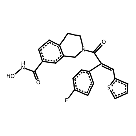 O=C(NO)c1ccc2c(c1)CN(C(=O)C(=Cc1cccs1)c1ccc(F)cc1)CC2